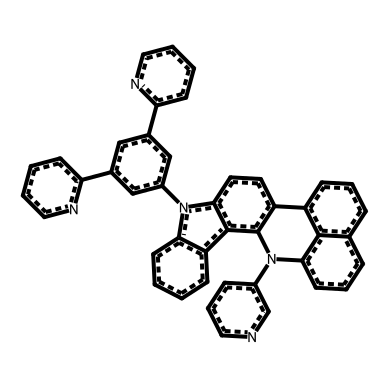 c1ccc(-c2cc(-c3ccccn3)cc(-n3c4ccccc4c4c5c(ccc43)-c3cccc4cccc(c34)N5c3cccnc3)c2)nc1